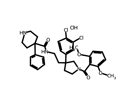 COc1cccc(OC)c1C(=O)N1CCC(CCNC(=O)C2(c3ccccc3)CCNCC2)(c2ccc(Cl)c(Cl)c2)C1.Cl